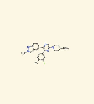 CNC1CCN(c2cnc(-c3ccc4nn(C)cc4c3)c(-c3ccc(C#N)c(F)c3)n2)CC1